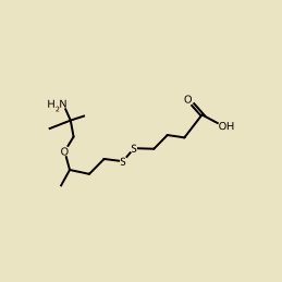 CC(CCSSCCCC(=O)O)OCC(C)(C)N